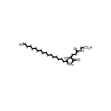 C=C(CCCCCCCCCCCCCCCCC(C)=O)NC(CCC(=O)NCC(=O)O)C(=C)N=O